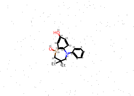 CCC1(CC)CN(c2ccccc2)c2ccc(O)cc2[S+]([O-])C1